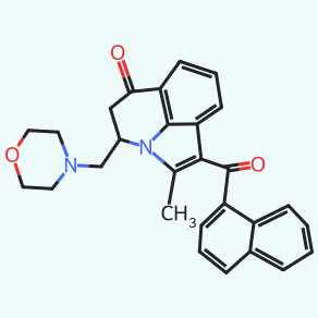 Cc1c(C(=O)c2cccc3ccccc23)c2cccc3c2n1C(CN1CCOCC1)CC3=O